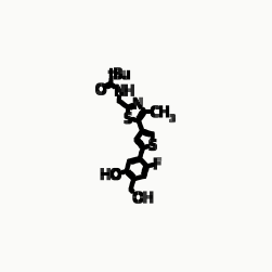 Cc1nc(CNC(=O)C(C)(C)C)sc1-c1csc(-c2cc(O)c(CO)cc2F)c1